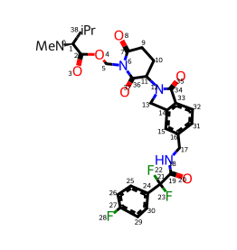 CN[C@H](C(=O)OCN1C(=O)CCC(N2Cc3cc(CNC(=O)C(F)(F)c4ccc(F)cc4)ccc3C2=O)C1=O)C(C)C